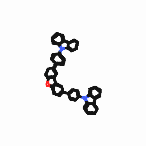 c1ccc2c(c1)c1ccccc1n2-c1ccc(-c2ccc3oc4ccc(-c5ccc(-n6c7ccccc7c7ccccc76)cc5)cc4c3c2)cc1